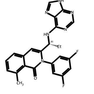 CC[C@@H](Nc1ncnc2[nH]cnc12)c1cc2cccc(C)c2c(=O)n1-c1cc(F)cc(F)c1